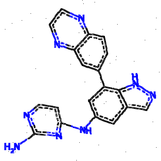 Nc1nccc(Nc2cc(-c3ccc4nccnc4c3)c3[nH]ncc3c2)n1